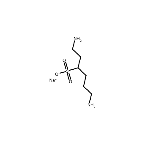 NCCCC(CCN)S(=O)(=O)[O-].[Na+]